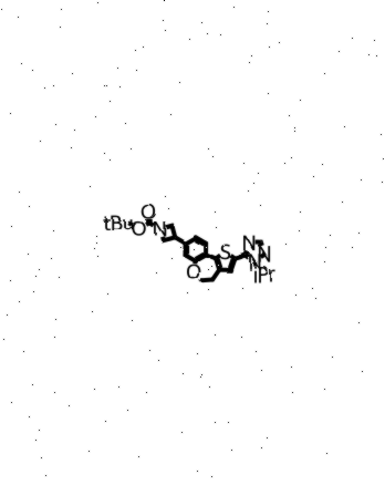 CC(C)n1ncnc1-c1cc2c(s1)-c1ccc(C3CN(C(=O)OC(C)(C)C)C3)cc1OCC2